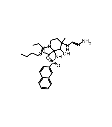 CCCCNC(=O)C1(NS(=O)(=O)c2ccc3ccccc3c2)C(O)C(C)(NC=NN)CCN1C(=O)CC